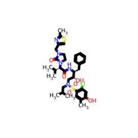 Cc1nc(CN2CCN([C@H](C(=O)N[C@@H](Cc3ccccc3)[C@H](O)CN(CC(C)C)S(=O)(=O)c3cc(C)c(O)cc3Cl)C(C)C)C2=O)cs1